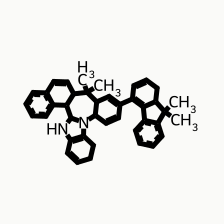 CC1(C)c2ccccc2C2=C(C3=CC4C(C=C3)N3C5=C(C=CCC5)NC3C3c5ccccc5C=CC3C4(C)C)C=CCC21